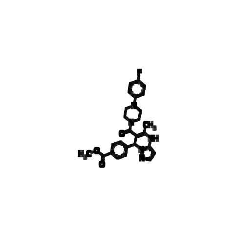 COC(=O)c1ccc(C2C(C(=O)N3CCN(c4ccc(F)cc4)CC3)=C(C)Nc3ccnn32)cc1